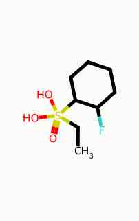 CCS(=O)(O)(O)C1CCCCC1F